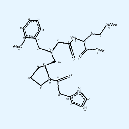 COC(=O)C(CCSC)NC(=O)CN(Cc1ccccc1OC)C[C@@H]1CCCN1C(=O)Cc1c[nH]cn1